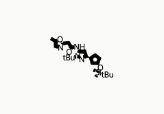 Cc1cnc(CC(=O)Nc2cc([C@H]3CC[C@@H](O[Si](C)(C)C(C)(C)C)C3)nn2C(C)(C)C)o1